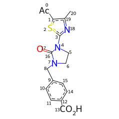 CC(=O)c1sc(N2CCN(Cc3ccc(C(=O)O)cc3)C2=O)nc1C